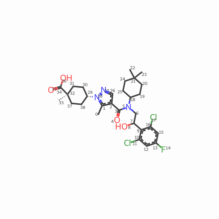 Cc1c(C(=O)N(CC(O)c2c(Cl)cc(F)cc2Cl)C2CCC(C)(C)CC2)cnn1[C@H]1CC[C@](C)(C(=O)O)CC1